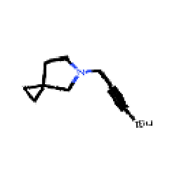 CC(C)(C)C#CCN1CCC2(CC2)C1